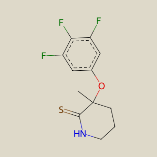 CC1(Oc2cc(F)c(F)c(F)c2)CCCNC1=S